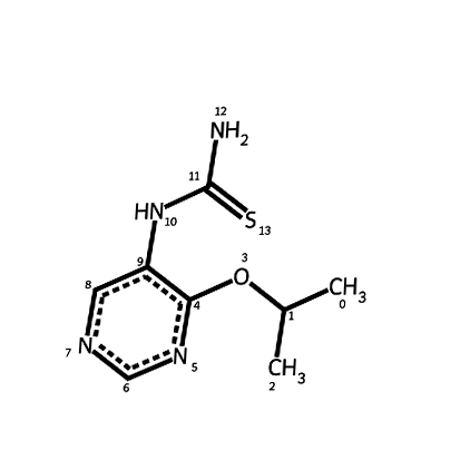 CC(C)Oc1ncncc1NC(N)=S